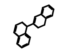 C1=Cc2ccccc2C(C2=Cc3ccccc3CC2)C1